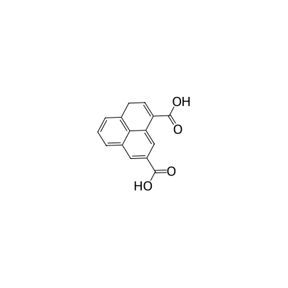 O=C(O)C1=CCc2cccc3cc(C(=O)O)cc1c23